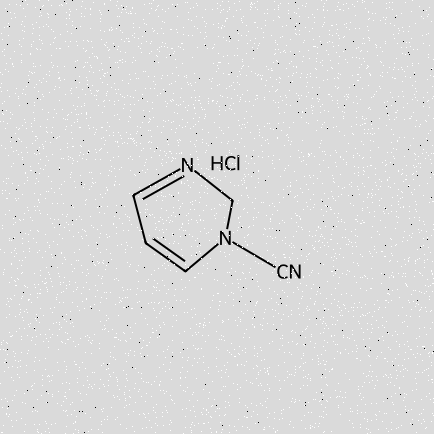 Cl.N#CN1C=CC=NC1